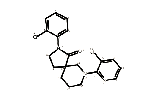 O=C1N(c2ccccc2Cl)CCC12CCCN(c1ncccc1Cl)C2